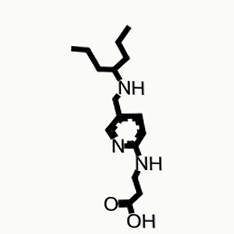 CCCC(CCC)NCc1ccc(NCCC(=O)O)nc1